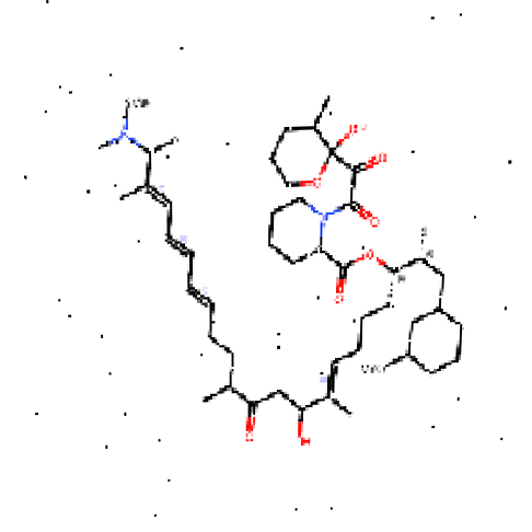 COC1CCCC(C[C@@H](C)[C@H](CCC/C=C(\C)C(O)CC(=O)C(C)CC/C=C/C=C/C=C(\C)C(C)N(C)SC)OC(=O)C2CCCCN2C(=O)C(=O)C2(O)OCCCC2C)C1